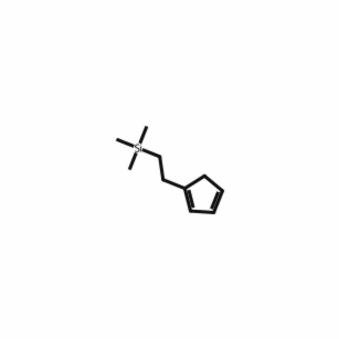 C[Si](C)(C)CCC1=CC=CC1